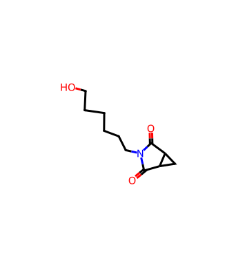 O=C1C2CC2C(=O)N1CCCCCCO